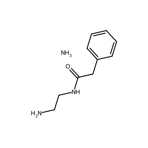 N.NCCNC(=O)Cc1ccccc1